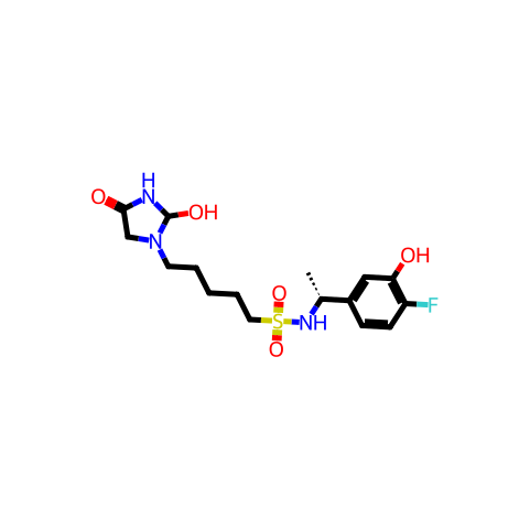 C[C@@H](NS(=O)(=O)CCCCCN1CC(=O)NC1O)c1ccc(F)c(O)c1